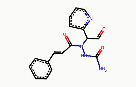 NC(=O)NN(C(=O)C=Cc1ccccc1)C([C]=O)c1ccccn1